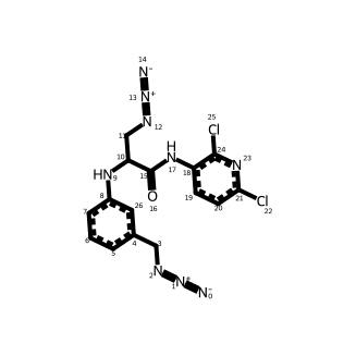 [N-]=[N+]=NCc1cccc(NC(CN=[N+]=[N-])C(=O)Nc2ccc(Cl)nc2Cl)c1